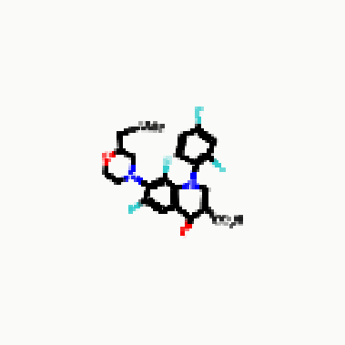 CNCC1CN(c2c(F)cc3c(=O)c(C(=O)O)cn(-c4ccc(F)cc4F)c3c2F)CCO1